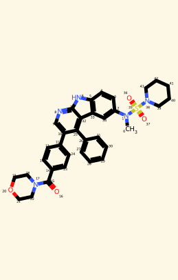 CN(c1ccc2[nH]c3ncc(-c4ccc(C(=O)N5CCOCC5)cc4)c(-c4ccccc4)c3c2c1)S(=O)(=O)N1CCCCC1